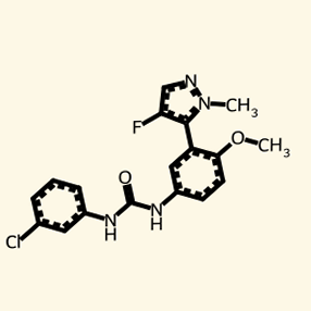 COc1ccc(NC(=O)Nc2cccc(Cl)c2)cc1-c1c(F)cnn1C